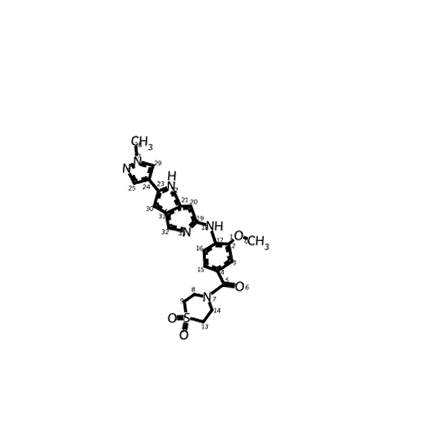 COc1cc(C(=O)N2CCS(=O)(=O)CC2)ccc1Nc1cc2[nH]c(-c3cnn(C)c3)cc2cn1